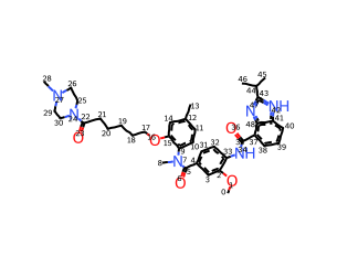 COc1cc(C(=O)N(C)c2ccc(C)cc2OCCCCCC(=O)N2CCN(C)CC2)ccc1NC(=O)c1cccc2[nH]c(C(C)C)nc12